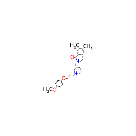 COc1ccc(OCCCN2CCCC(CN3CCc4cc(C)c(C)cc4C3=O)C2)cc1